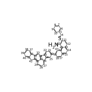 Nc1c(SCc2ccccc2)ccc2ccc3ccc(-c4ccc5c(c4)-c4cccc6c7c(cc-5c46)-c4ccccc4C7)cc3c12